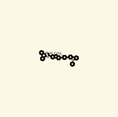 CC1(C)c2cc(-c3ccc(-c4ccc5c6ccccc6n(-c6ccccc6)c5c4)cc3)ccc2-c2ccc(-c3cnc4c5ccccc5c5ccccc5c4n3)cc21